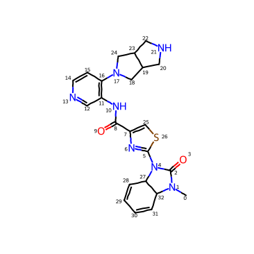 CN1C(=O)N(c2nc(C(=O)Nc3cnccc3N3CC4CNCC4C3)cs2)C2C=CC=CC21